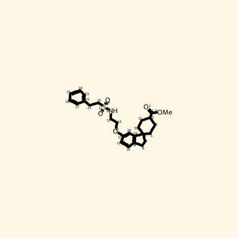 COC(=O)C1CCC2(CCc3ccc(OCCNS(=O)(=O)CCc4ccccc4)cc32)CC1